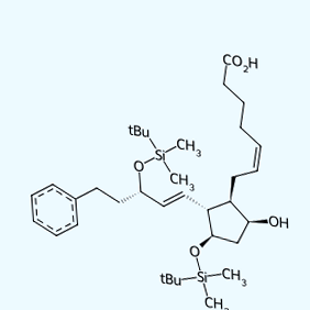 CC(C)(C)[Si](C)(C)O[C@H](/C=C/[C@@H]1[C@@H](C/C=C\CCCC(=O)O)[C@@H](O)C[C@H]1O[Si](C)(C)C(C)(C)C)CCc1ccccc1